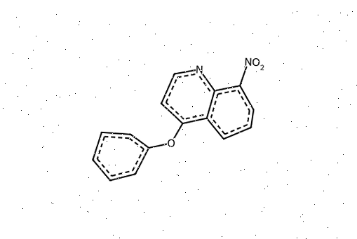 O=[N+]([O-])c1cccc2c(Oc3ccccc3)ccnc12